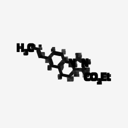 C/C=C/c1ccc2c(c1)CCc1c(C(=O)OCC)ncn1-2